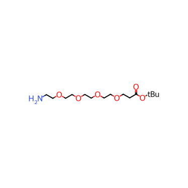 CC(C)(C)OC(=O)CCOCCOCCOCCOCCN